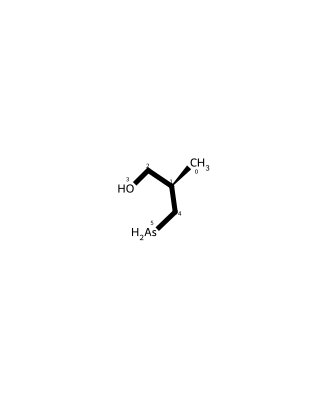 C[C@H](CO)C[AsH2]